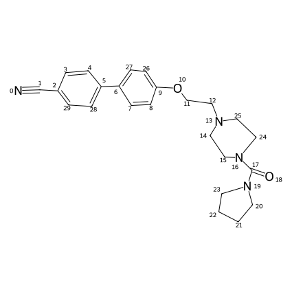 N#Cc1ccc(-c2ccc(OCCN3CCN(C(=O)N4CCCC4)CC3)cc2)cc1